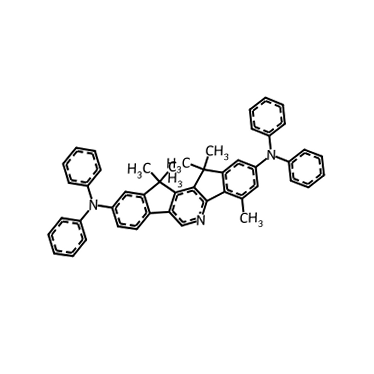 Cc1cc(N(c2ccccc2)c2ccccc2)cc2c1-c1ncc3c(c1C2(C)C)C(C)(C)c1cc(N(c2ccccc2)c2ccccc2)ccc1-3